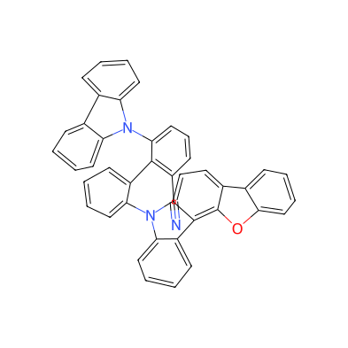 N#Cc1cccc(-n2c3ccccc3c3ccccc32)c1-c1ccccc1-n1c2ccccc2c2c3oc4ccccc4c3ccc21